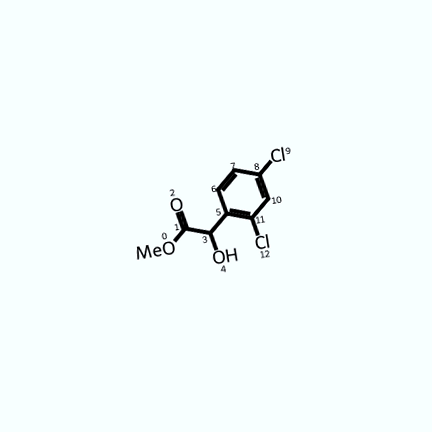 COC(=O)C(O)c1ccc(Cl)cc1Cl